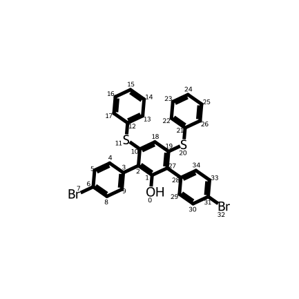 Oc1c(-c2ccc(Br)cc2)c(Sc2ccccc2)cc(Sc2ccccc2)c1-c1ccc(Br)cc1